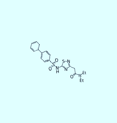 CCN(CC)C(=O)Cc1nsc(NS(=O)(=O)c2ccc(-c3ccccc3)cc2)n1